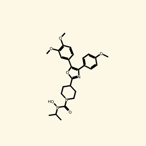 COc1ccc(-c2nc(C3CCN(C(=O)N(O)C(C)C)CC3)oc2-c2ccc(OC)c(OC)c2)cc1